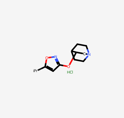 CC(C)c1cc(OC2CN3CCC2CC3)no1.Cl